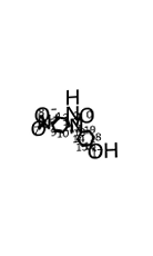 O=c1[nH]c2cc([N+](=O)[O-])ccc2n1[C@H]1CC[C@H](O)CC1